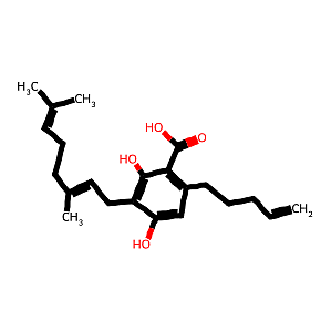 C=CCCCc1cc(O)c(C/C=C(\C)CCC=C(C)C)c(O)c1C(=O)O